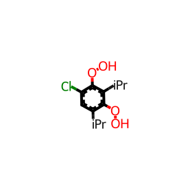 CC(C)c1cc(Cl)c(OO)c(C(C)C)c1OO